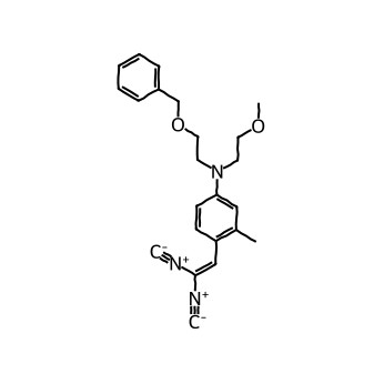 [C-]#[N+]C(=Cc1ccc(N(CCOC)CCOCc2ccccc2)cc1C)[N+]#[C-]